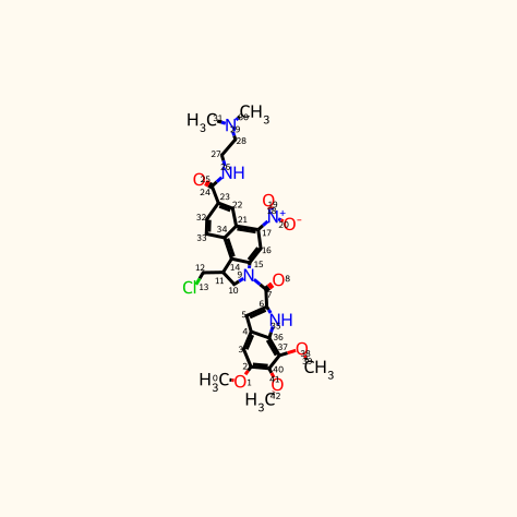 COc1cc2cc(C(=O)N3CC(CCl)c4c3cc([N+](=O)[O-])c3cc(C(=O)NCCN(C)C)ccc43)[nH]c2c(OC)c1OC